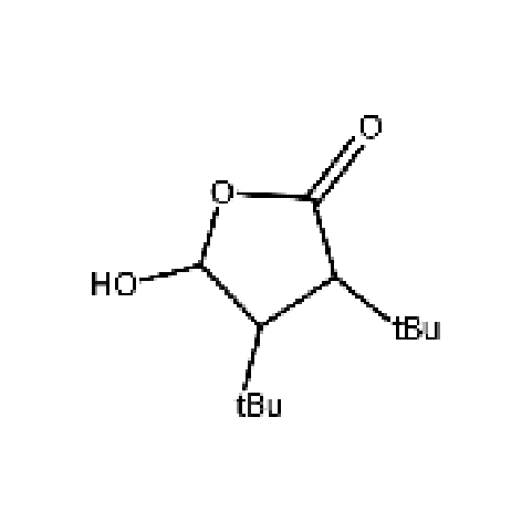 CC(C)(C)C1C(=O)OC(O)C1C(C)(C)C